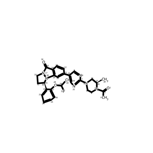 CC(=O)N1CCN(c2ncc(-c3ccc4c(=O)n5n(c4c3)[C@@H](c3ccccc3OC(C)F)CC5)cn2)C[C@H]1C